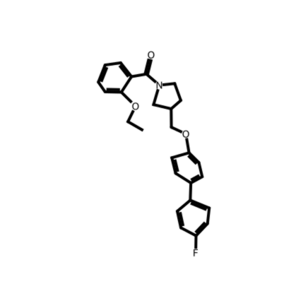 CCOc1ccccc1C(=O)N1CCC(COc2ccc(-c3ccc(F)cc3)cc2)C1